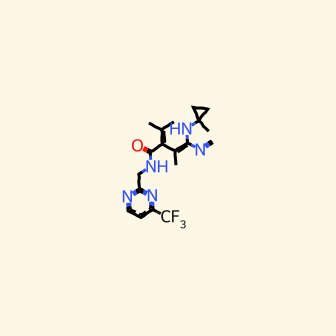 C=N/C(NC1(C)CC1)=C(\C)C(C(=O)NCc1nccc(C(F)(F)F)n1)=C(C)C